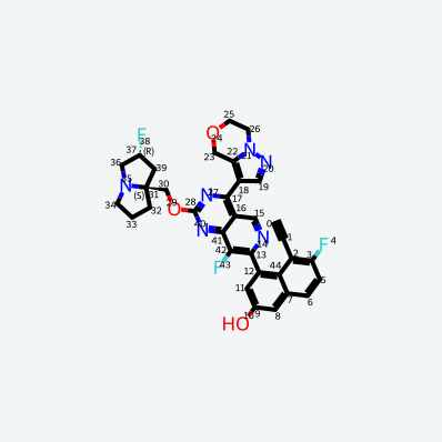 C#Cc1c(F)ccc2cc(O)cc(-c3ncc4c(-c5cnn6c5COCC6)nc(OC[C@@]56CCCN5C[C@H](F)C6)nc4c3F)c12